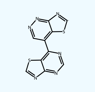 [c]1nc2nncc(-c3ncnc4ncsc34)c2s1